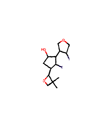 CC1(C)COC1C1CC(O)C(C2COCC2I)C1I